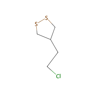 ClCCC1CSSC1